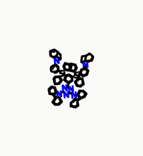 c1ccc([Si](c2ccccc2)(c2cccc(N3C4CC5CC(C4)CC3C5)c2)c2cc(-c3nc(-n4c5ccccc5c5ccccc54)nc(-n4c5ccccc5c5ccccc54)n3)cc([Si](c3ccccc3)(c3ccccc3)c3cccc(N4C5CC6CC(C5)CC4C6)c3)c2)cc1